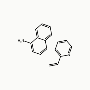 C=Cc1ccccn1.Nc1cccc2ccccc12